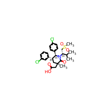 CC(C)[C@@H](CS(C)(=O)=O)N1C(=O)[C@@](C)(CC(=O)O)C[C@H](c2cccc(Cl)c2)[C@H]1c1ccc(Cl)cc1